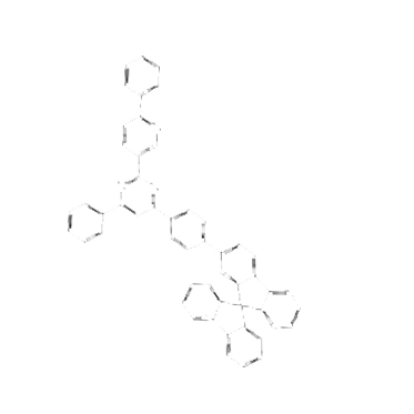 c1ccc(-c2ccc(-c3nc(-c4ccccc4)cc(-c4ccc(-c5ccc6c(c5)C5(c7ccccc7-c7ccccc75)c5ccccc5-6)cc4)n3)cn2)cc1